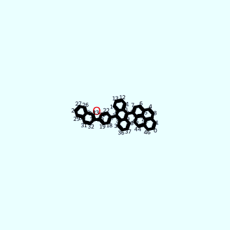 C1=Cc2ccc3ccc(-c4c5ccccc5c(-c5ccc6c(c5)oc5c7ccccc7ccc65)c5ccccc45)c4c3c2C(=CC4)C1